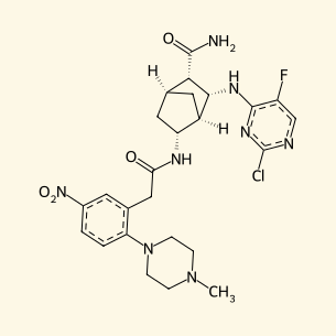 CN1CCN(c2ccc([N+](=O)[O-])cc2CC(=O)N[C@@H]2C[C@@H]3C[C@H]2[C@@H](Nc2nc(Cl)ncc2F)[C@H]3C(N)=O)CC1